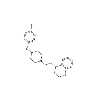 Fc1ccc(OC2CCN(CCC3CCOc4ccccc43)CC2)cc1